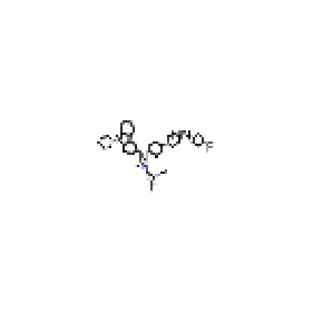 C#C/C(F)=C\C=C(/C)N(c1ccc(-c2ccc(Nc3ccc(F)cc3)cc2)cc1)c1ccc2c(c1)c1ccccc1n2C1C=CC=CC1